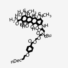 CCCCCCCCCCCCOc1ccc(C(=O)OCOC(=O)N(CC(=O)Nc2cc(N(C)C)c3c(c2O)C(=O)C2=C(O)[C@]4(O)C(=O)C(C(N)=O)=C(O)[C@@H](N(C)C)[C@@H]4C[C@@H]2C3)C(C)(C)C)cc1